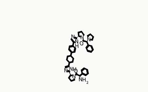 N[C@@H](C(=O)N1CCC[C@H]1c1ncc(C2CCC(c3ccc(-c4cnc([C@@H]5CCCN5C(=O)[C@@H](c5ccccc5)N5CCCC5)[nH]4)cc3)CC2)[nH]1)c1ccccc1